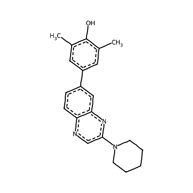 Cc1cc(-c2ccc3ncc(N4CCCCC4)nc3c2)cc(C)c1O